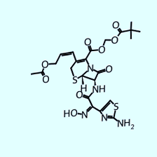 CC(=O)OC/C=C\C1=C(C(=O)OCOC(=O)C(C)(C)C)N2C(=O)[C@@H](NC(=O)/C(=N\O)c3csc(N)n3)[C@@H]2SC1